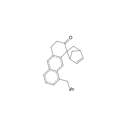 CC(C)Cc1cccc2cc3c(cc12)C1(CC2C=CC1C2)C(=O)CC3